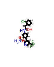 NS(=O)(=O)c1cc(NC(O)Cc2ccccc2Cl)ccc1-c1cncc(C(F)(F)F)c1